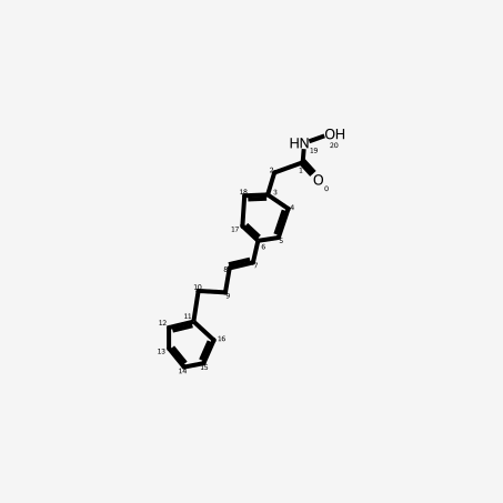 O=C(Cc1ccc(C=CCCc2ccccc2)cc1)NO